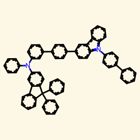 c1ccc(-c2ccc(-n3c4ccccc4c4cc(-c5ccc(-c6cccc(N(c7ccccc7)c7ccc8c(c7)-c7ccccc7C8(c7ccccc7)c7ccccc7)c6)cc5)ccc43)cc2)cc1